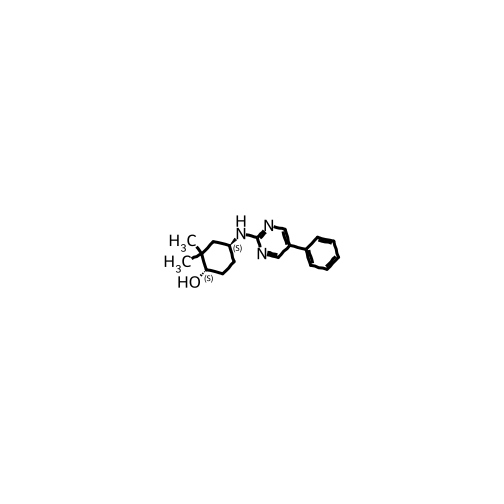 CC1(C)C[C@@H](Nc2ncc(-c3ccccc3)cn2)CC[C@@H]1O